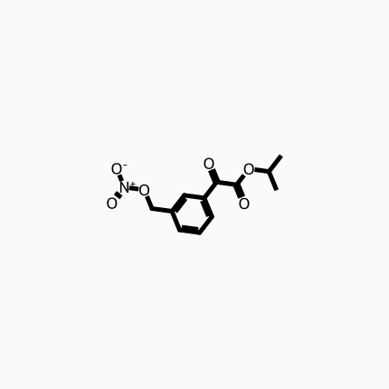 CC(C)OC(=O)C(=O)c1cccc(CO[N+](=O)[O-])c1